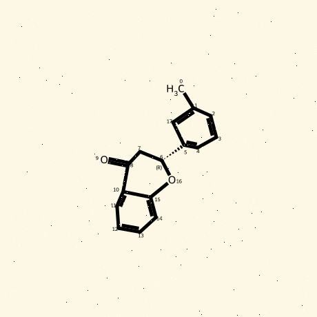 Cc1cccc([C@H]2CC(=O)c3ccccc3O2)c1